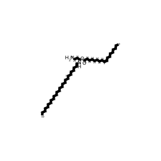 CCCCCCCC/C=C\CCCCCCCC(=O)OC(CCN)NCCCCCCCCCCCCCCCCCCCCCCCCCC